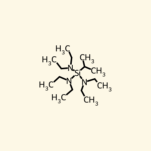 CCN(CC)[Si](C(C)C)(N(CC)CC)N(CC)CC